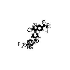 CCNC(=O)c1ccc2c(N3CC[C@H](C(=O)N4CCn5c(nnc5C(F)(F)F)C4)[C@H](C)C3)c(Cl)cnc2c1